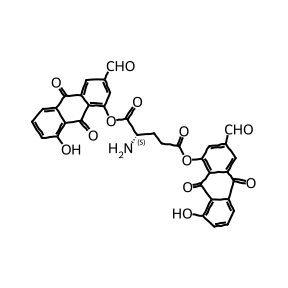 N[C@@H](CCC(=O)Oc1cc(C=O)cc2c1C(=O)c1c(O)cccc1C2=O)C(=O)Oc1cc(C=O)cc2c1C(=O)c1c(O)cccc1C2=O